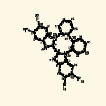 Fc1cc2nc3c4nc5cc(F)c(F)cc5n4c4ccccc4c4ccccc4n3c2cc1F